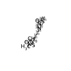 CC1C(=O)N(C)C(=S)N1CCCCCCCN1CCN(C(=O)c2cccs2)CC1